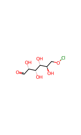 O=C[C@H](O)[C@@H](O)[C@H](O)[C@H](O)COCl